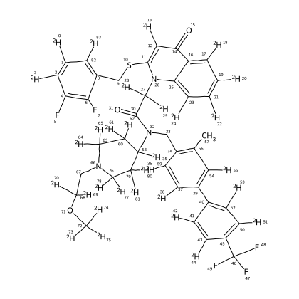 [2H]c1c([2H])c(F)c(F)c(CSc2c([2H])c(=O)c3c([2H])c([2H])c([2H])c([2H])c3n2C([2H])([2H])C(=O)N(Cc2c([2H])c([2H])c(-c3c([2H])c([2H])c(C(F)(F)F)c([2H])c3[2H])c([2H])c2C)C2([2H])C([2H])([2H])C([2H])([2H])N(CC([2H])([2H])OC([2H])([2H])[2H])C([2H])([2H])C2([2H])[2H])c1[2H]